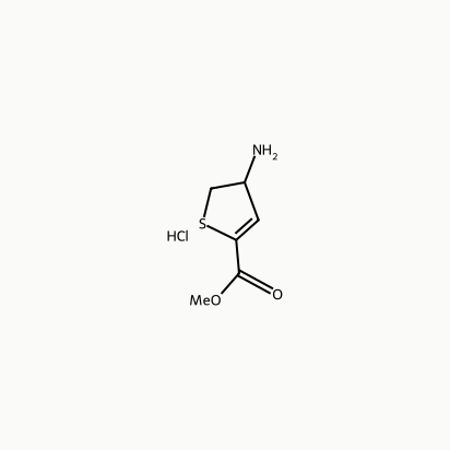 COC(=O)C1=CC(N)CS1.Cl